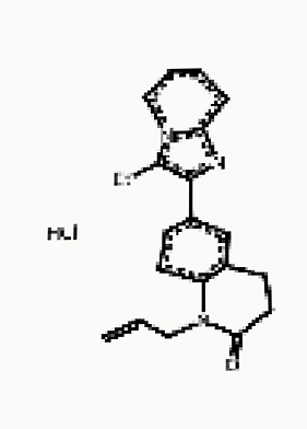 C=CCN1C(=O)CCc2cc(-c3nc4ccccn4c3CC)ccc21.Cl